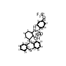 N=S(=O)(NC1CCCC(N2c3ccccc3Sc3ccccc32)C1O)c1ccc(OC(F)(F)F)cc1